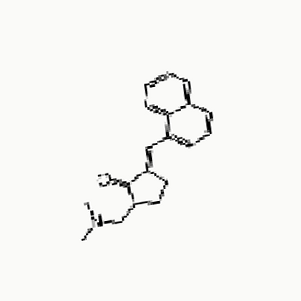 CN(C)CC1CCC(=Cc2cccc3ccccc23)C1=O